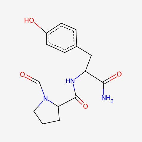 NC(=O)C(Cc1ccc(O)cc1)NC(=O)C1CCCN1C=O